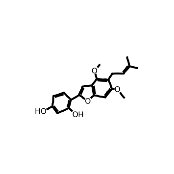 COc1cc2oc(-c3ccc(O)cc3O)cc2c(OC)c1CC=C(C)C